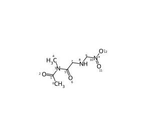 CC(=O)N(C)C(=O)CNC[N+](=O)[O-]